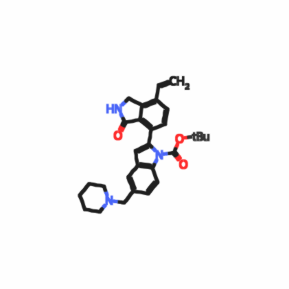 C=Cc1ccc(-c2cc3cc(CN4CCCCC4)ccc3n2C(=O)OC(C)(C)C)c2c1CNC2=O